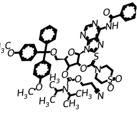 COc1ccc(C(OC[C@H]2O[C@@H](n3cnc4c(NC(=O)c5ccccc5)ncnc43)C(OC(=S)N3CCS(=O)(=O)CC3)C2OP(OCCC#N)N(C(C)C)C(C)C)(c2ccccc2)c2ccc(OC)cc2)cc1